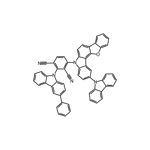 N#Cc1ccc(-n2c3ccc(-n4c5ccccc5c5ccccc54)cc3c3c4oc5ccccc5c4ccc32)c(C#N)c1-n1c2ccccc2c2cc(-c3ccccc3)ccc21